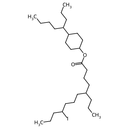 CCCCC(CCC)C1CCC(OC(=O)CCCC(CCC)CCCC(I)CCC)CC1